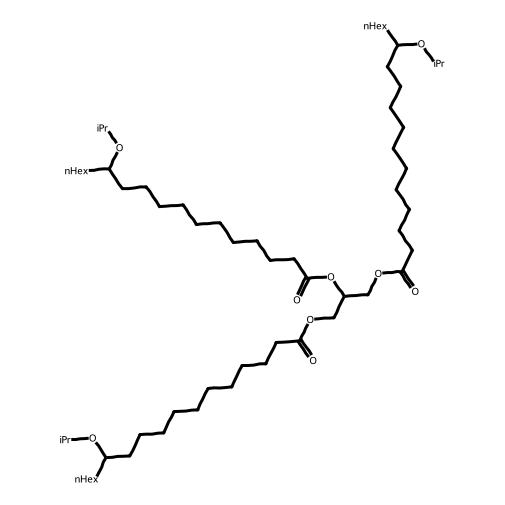 CCCCCCC(CCCCCCCCCCC(=O)OCC(COC(=O)CCCCCCCCCCC(CCCCCC)OC(C)C)OC(=O)CCCCCCCCCCC(CCCCCC)OC(C)C)OC(C)C